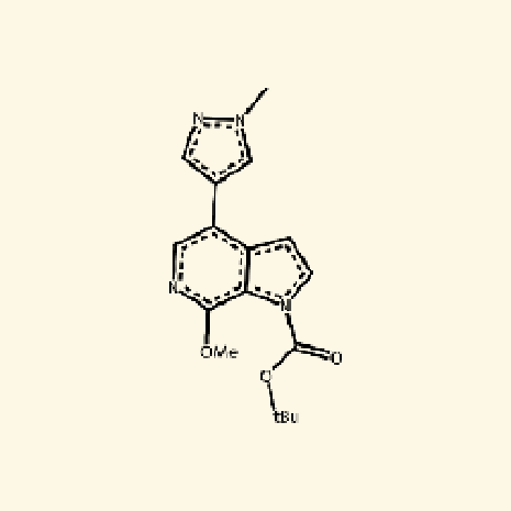 COc1ncc(-c2cnn(C)c2)c2ccn(C(=O)OC(C)(C)C)c12